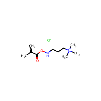 C=C(C)C(=O)ONCCC[N+](C)(C)C.[Cl-]